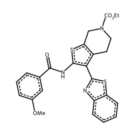 CCOC(=O)N1CCc2c(sc(NC(=O)c3cccc(OC)c3)c2-c2nc3ccccc3s2)C1